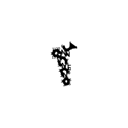 Cc1c(C2CC2)ncn1C1=CC=CCN1N1CCCN(C2CCN(C3CCCC3)CC2F)CC1